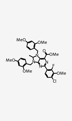 COC(=O)c1nc(-c2ccc(Cl)c(OC)c2F)nc2c1N(Cc1ccc(OC)cc1OC)C(C)N2Cc1ccc(OC)cc1OC